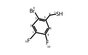 Fc1cc(Br)c(CS)cc1F